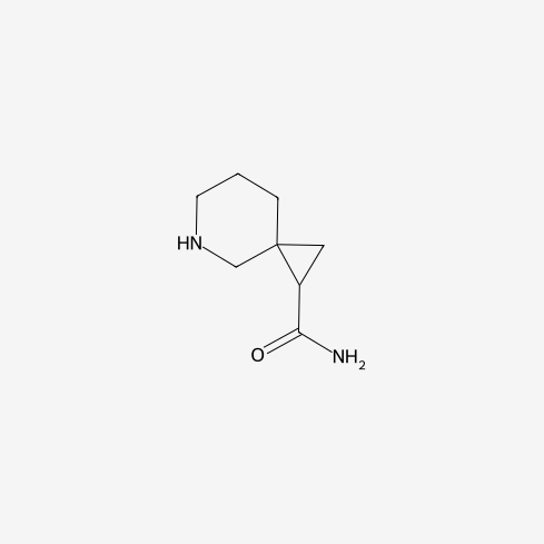 NC(=O)C1CC12CCCNC2